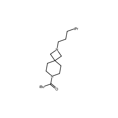 CCC(C)C(=O)N1CCC2(CC1)CN(CCCC(C)C)C2